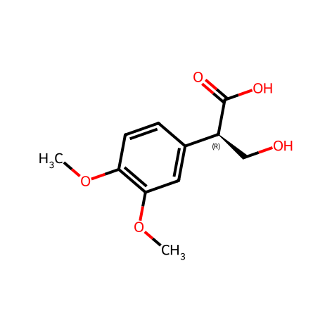 COc1ccc([C@H](CO)C(=O)O)cc1OC